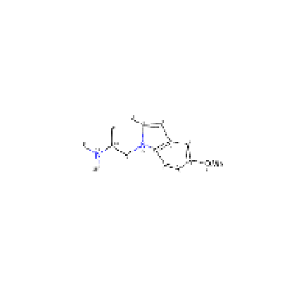 COc1ccc2c(c1)cc(C)n2CC(C)N(C)C